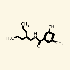 CCCC(CCC)CNC(=O)c1cc(C)cc(C)c1